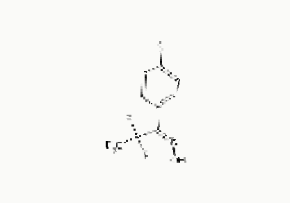 ON=C(c1ccc(Cl)cc1)C(F)(F)C(F)(F)F